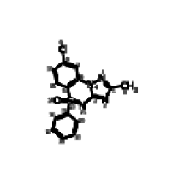 Cc1nc2n(n1)-c1cc(Cl)ccc1S(=O)(c1ccccc1)=N2